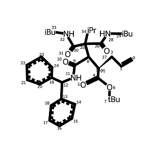 C=CC[C@@H](C(=O)OC(C)(C)C)C(C(=O)NC(c1ccccc1)c1ccccc1)C(C(=O)NC(C)CC)(C(=O)NC(C)CC)C(C)C